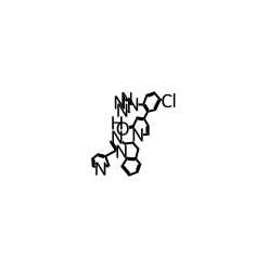 O=c1cc(-c2cc(Cl)ccc2-n2cnnn2)ccn1C(Cc1ccccc1)c1nc(-c2cccnc2)c[nH]1